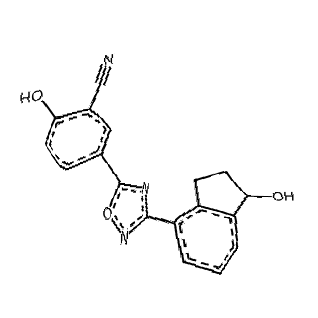 N#Cc1cc(-c2nc(-c3cccc4c3CCC4O)no2)ccc1O